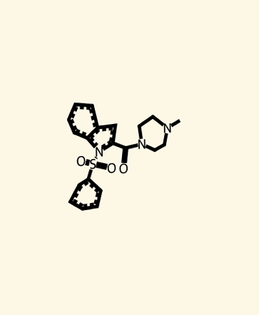 CN1CCN(C(=O)c2cc3ccccc3n2S(=O)(=O)c2ccccc2)CC1